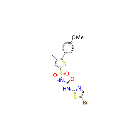 COc1ccc(-c2sc(S(=O)(=O)NC(=O)Nc3ncc(Br)s3)cc2C)cc1